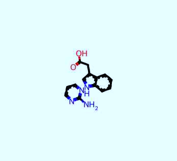 Nc1ncccn1.O=C(O)Cc1c[nH]c2ccccc12